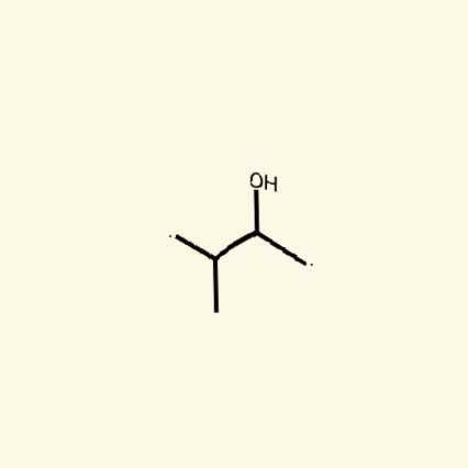 [CH2]C(C)C([CH2])O